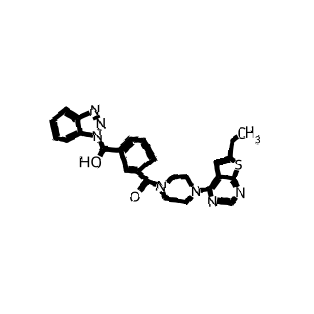 CCc1cc2c(N3CCN(C(=O)c4cccc(C(O)n5nnc6ccccc65)c4)CC3)ncnc2s1